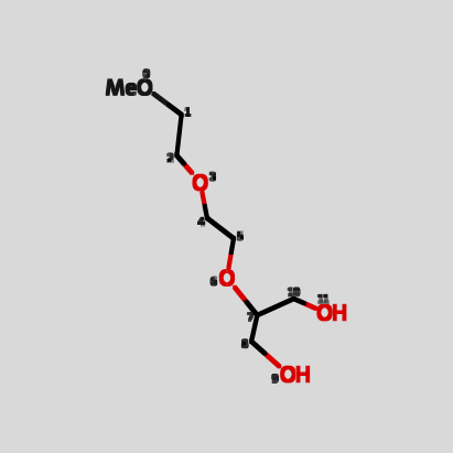 COCCOCCOC(CO)CO